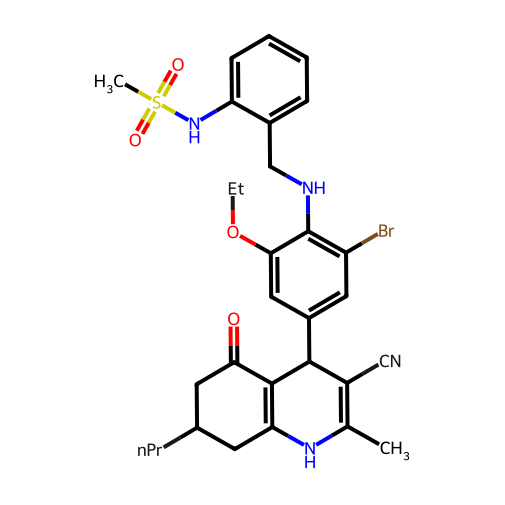 CCCC1CC(=O)C2=C(C1)NC(C)=C(C#N)C2c1cc(Br)c(NCc2ccccc2NS(C)(=O)=O)c(OCC)c1